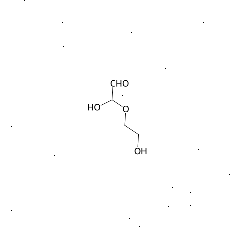 O=CC(O)OCCO